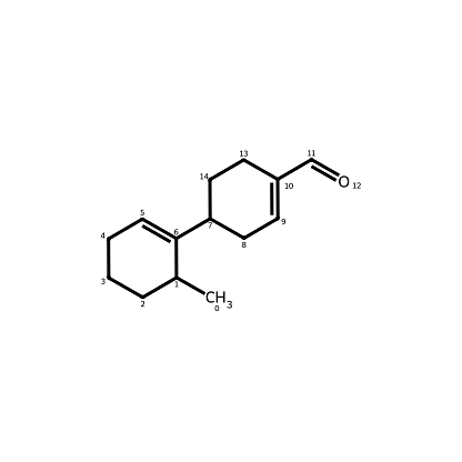 CC1CCCC=C1C1CC=C(C=O)CC1